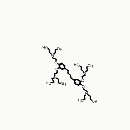 OCCN(CCO)CCOc1ccc(CCCCc2ccc(OCCN(CCO)CCO)c(OCCN(CCO)CCO)c2)cc1OCCN(CCO)CCO